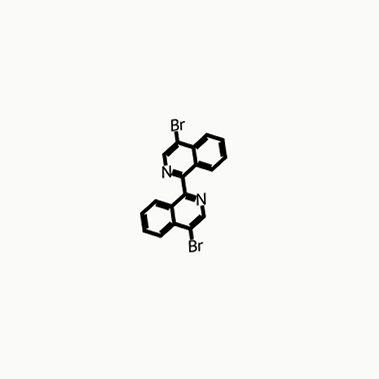 Brc1cnc(-c2ncc(Br)c3ccccc23)c2ccccc12